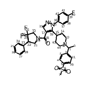 CC(c1ccc(S(C)(=O)=O)cc1)N1CCC(c2c(C(=O)N3CC(c4ccccc4)C(F)(F)C3)cnn2-c2ccc(F)cc2)CC1